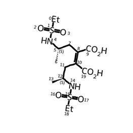 CCS(=O)(=O)N[C@@H](C)CC(C(=O)O)=C(C[C@H](C)NS(=O)(=O)CC)C(=O)O